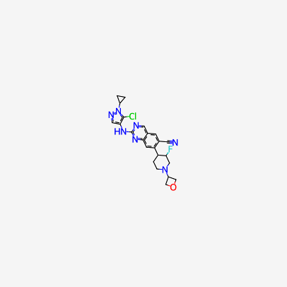 N#Cc1cc2cnc(Nc3cnn(C4CC4)c3Cl)nc2cc1C1CCN(C2COC2)C[C@@H]1F